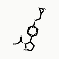 O=C(O)[C@H]1NCCC1c1ccc(OCC2CO2)cc1